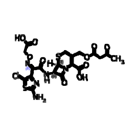 CC(=O)CC(=O)OCC1=C(C(=O)O)N2C(=O)[C@@H](NC(=O)/C(=N\OCC(=O)O)c3nc(N)sc3Cl)[C@H]2SC1